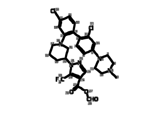 CN1CCN(c2ccc(-c3ccc(Cl)cc3N3CCCC(n4ncc(C(=O)OC=O)c4C(F)(F)F)C3)c(Cl)c2)CC1